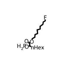 CCCCCCC(OP)C(=O)OCCCCCCCCCCF